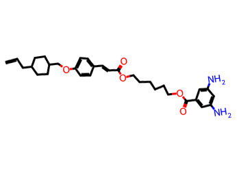 C=CCC1CCC(COc2ccc(C=CC(=O)OCCCCCCOC(=O)c3cc(N)cc(N)c3)cc2)CC1